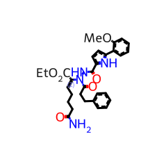 CCOC(=O)/C(=C/CCCC(N)=O)N(NC(=O)c1ccc(-c2ccccc2OC)[nH]1)C(=O)CCc1ccccc1